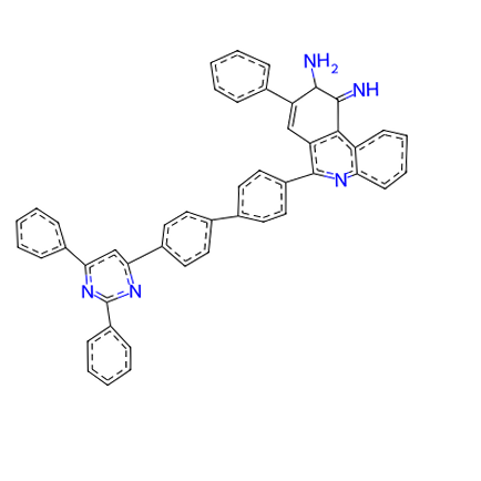 N=C1c2c(c(-c3ccc(-c4ccc(-c5cc(-c6ccccc6)nc(-c6ccccc6)n5)cc4)cc3)nc3ccccc23)C=C(c2ccccc2)C1N